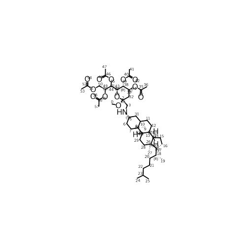 CO[C@@]1(CN[C@H]2CC[C@@]3(C)C(CC[C@H]4[C@@H]5CC[C@H]([C@H](C)CCCC(C)C)[C@@]5(C)CC[C@@H]43)C2)C[C@H](OC(C)=O)[C@@H](OC(C)=O)[C@H]([C@H](OC(C)=O)[C@H](COC(C)=O)OC(C)=O)O1